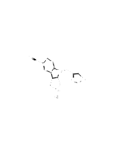 N#Cc1ccc2c(c1)c1c(n2Cc2cnsn2)C[C@H](N)C1